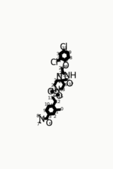 Cc1cc(C(=O)N(C)C)ccc1CCS(=O)(=O)N1CCC2(CC1)N=C(COc1ccc(Cl)cc1Cl)NC2=O